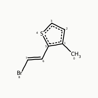 Cc1ccsc1C=CBr